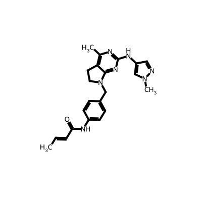 C/C=C/C(=O)Nc1ccc(CN2CCc3c(C)nc(Nc4cnn(C)c4)nc32)cc1